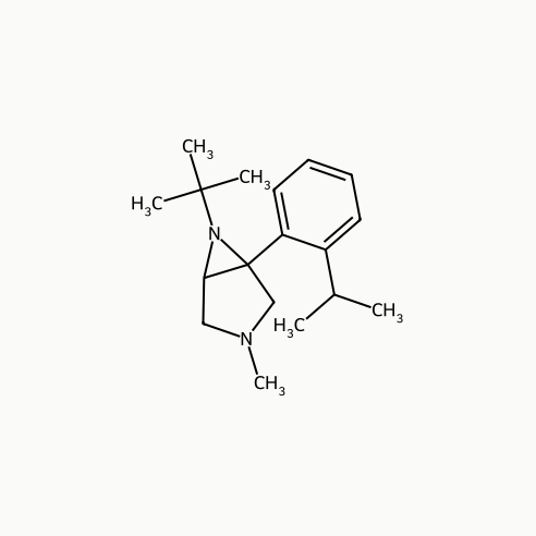 CC(C)c1ccccc1C12CN(C)CC1N2C(C)(C)C